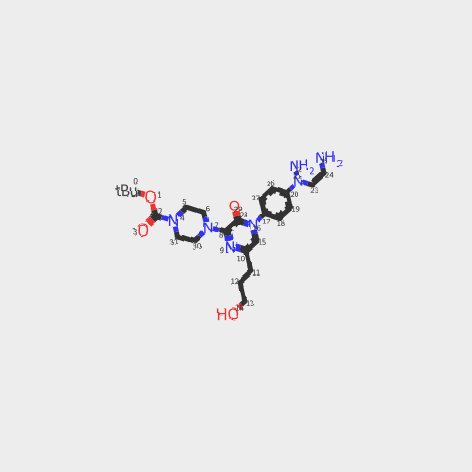 CC(C)(C)OC(=O)N1CCN(c2nc(CCCO)cn(-c3ccc(N(N)/C=C\N)cc3)c2=O)CC1